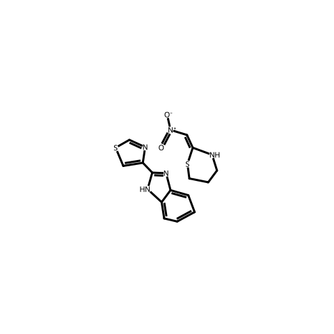 O=[N+]([O-])/C=C1/NCCCS1.c1ccc2[nH]c(-c3cscn3)nc2c1